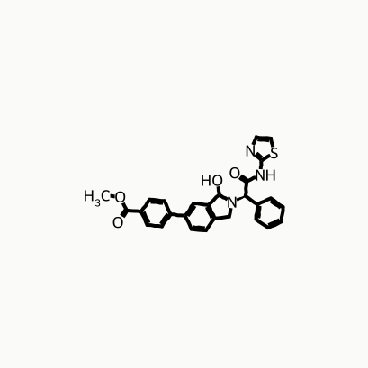 COC(=O)c1ccc(-c2ccc3c(c2)C(O)N([C@@H](C(=O)Nc2nccs2)c2ccccc2)C3)cc1